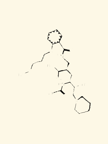 COCCCOc1ccccc1C(=O)NC[C@@H](C[C@H](NC(=O)O)[C@@H](O)CN1CCCCC1)C(C)C